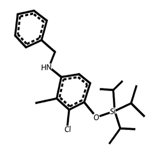 Cc1c(NCc2ccccc2)ccc(O[Si](C(C)C)(C(C)C)C(C)C)c1Cl